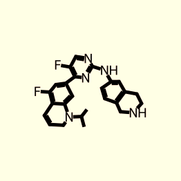 CC(C)N1CC=Cc2c(F)cc(-c3nc(Nc4ccc5c(c4)CCNC5)ncc3F)cc21